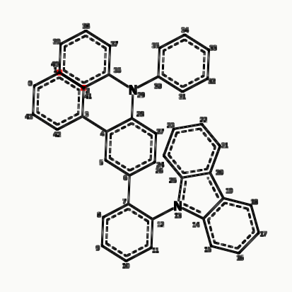 c1ccc(-c2cc(-c3ccccc3-n3c4ccccc4c4ccccc43)ccc2N(c2ccccc2)c2ccccc2)cc1